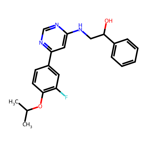 CC(C)Oc1ccc(-c2cc(NCC(O)c3ccccc3)ncn2)cc1F